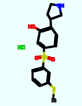 CCSc1cccc(S(=O)(=O)c2ccc(C3CCNC3)c(O)c2)c1.Cl